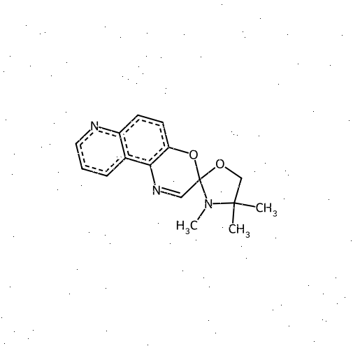 CN1C(C)(C)COC12C=Nc1c(ccc3ncccc13)O2